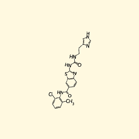 Cc1cccc(Cl)c1NC(=O)c1ccc2nc(NC(=O)NCCc3c[nH]cn3)sc2c1